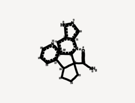 NC(=O)C1(c2ccc3[nH]ncc3n2)CCCC1c1cccnc1